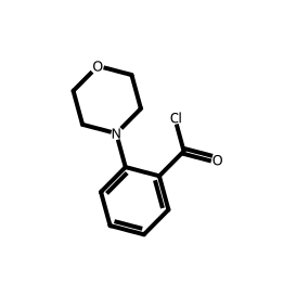 O=C(Cl)c1ccccc1N1CCOCC1